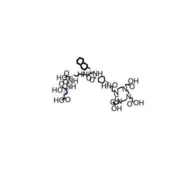 O=C(O)/C=C/[C@H](NC(=O)N[C@@H](CCCCNC(=O)[C@H](Cc1ccc2ccccc2c1)NC(=O)[C@H]1CC[C@H](CNC(=O)CN2CCN(CC(=O)O)CCN(CC(=O)O)CCN(CC(=O)O)CC2)CC1)C(=O)O)C(=O)O